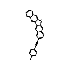 Cc1ccc(C#Cc2ccc3cc4sc5cc6ccccc6cc5c4cc3c2)cc1